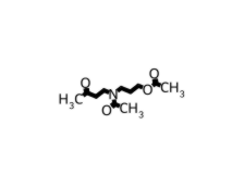 CC(=O)CCN(CCCOC(C)=O)C(C)=O